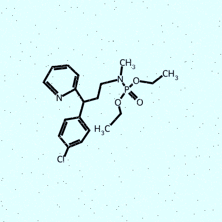 CCOP(=O)(OCC)N(C)CCC(c1ccc(Cl)cc1)c1ccccn1